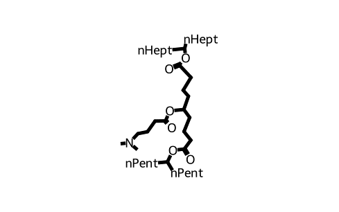 CCCCCCCC(CCCCCCC)OC(=O)CCCC(CCCC(=O)OC(CCCCC)CCCCC)OC(=O)CCCN(C)C